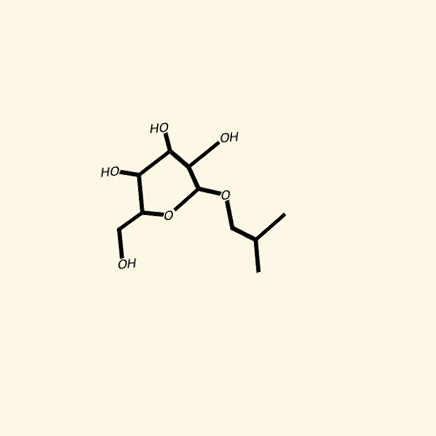 CC(C)COC1OC(CO)C(O)C(O)C1O